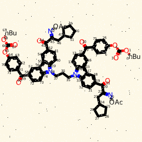 CCCCOC(=O)Oc1ccc(C(=O)c2ccc3c(c2)c2cc(C(=O)/C(CC4CCCC4)=N/OC(C)=O)ccc2n3CCCn2c3ccc(C(=O)/C(CC4CCCC4)=N/OC(C)=O)cc3c3cc(C(=O)c4ccc(OC(=O)OCCCC)cc4)ccc32)cc1